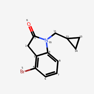 O=C1Cc2c(Br)cccc2N1CC1CC1